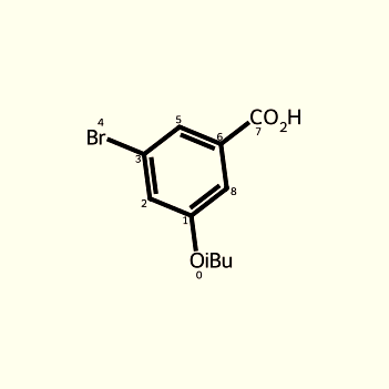 CC(C)COc1cc(Br)cc(C(=O)O)c1